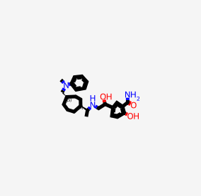 CC(NCC(O)c1ccc(O)c(C(N)=O)c1)[C@H]1CCC[C@H](CN(C)c2ccccc2)CC1